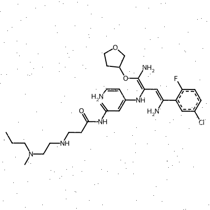 C=C(/C=C(\C=C/N)NC(/C=C(\N)c1cc(Cl)ccc1F)=C(/N)OC1CCOC1)NC(=O)CCNCCN(C)CCC